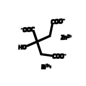 O=C([O-])CC(O)(CC(=O)[O-])C(=O)[O-].[Bi+3].[Zn+2]